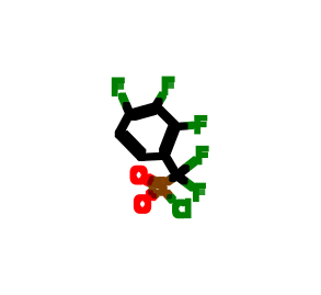 O=S(=O)(Cl)C(F)(F)c1ccc(F)c(F)c1F